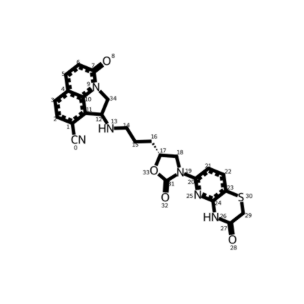 N#Cc1ccc2ccc(=O)n3c2c1C(NCCC[C@@H]1CN(c2ccc4c(n2)NC(=O)CS4)C(=O)O1)C3